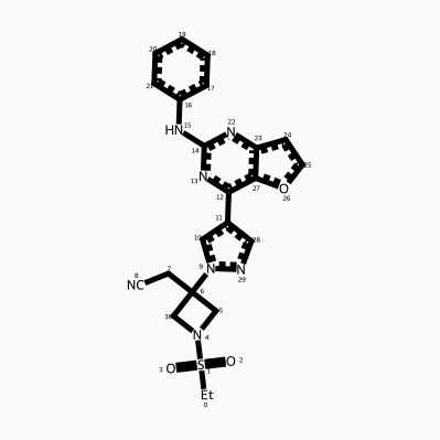 CCS(=O)(=O)N1CC(CC#N)(n2cc(-c3nc(Nc4ccccc4)nc4ccoc34)cn2)C1